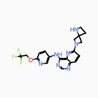 FC(F)(F)COc1ccc(Nc2ncnc3ccc(N4CC5(CCN5)C4)nc23)cn1